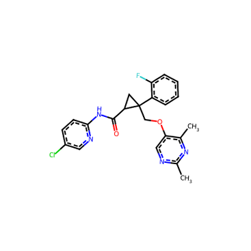 Cc1ncc(OCC2(c3ccccc3F)CC2C(=O)Nc2ccc(Cl)cn2)c(C)n1